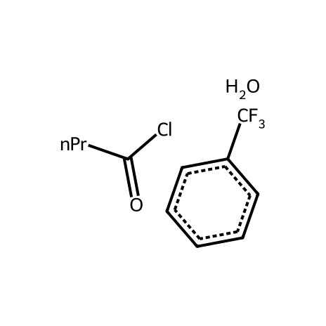 CCCC(=O)Cl.FC(F)(F)c1ccccc1.O